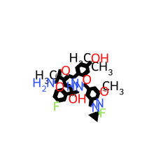 COc1cc(C(=O)NC[C@@](O)(c2cccc(F)c2)c2cc3c(c(-c4ccc(C(C)(C)O)cc4)n2)OC[C@]3(C)C(N)=O)cc2cn(C3(F)CC3)nc12